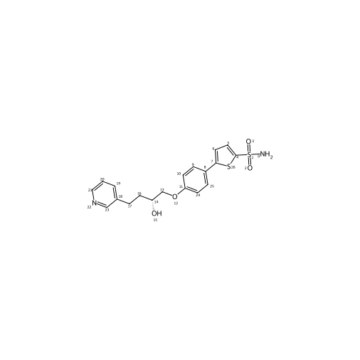 NS(=O)(=O)c1ccc(-c2ccc(OC[C@H](O)CCc3cccnc3)cc2)s1